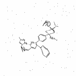 Cc1cc2ncc3cc(-c4ccccc4)c(-c4ccc(C5(N)CC(O)(C(C)C)C5)cc4)nc3n2n1